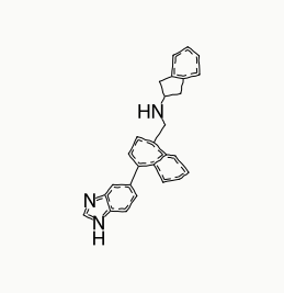 c1ccc2c(c1)CC(NCc1ccc(-c3ccc4[nH]cnc4c3)c3ccccc13)C2